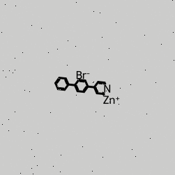 [Br-].[Zn+][c]1cc(-c2ccc(-c3ccccc3)cc2)ccn1